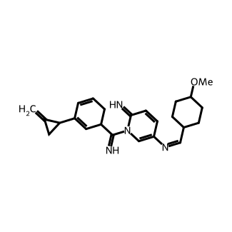 C=C1CC1C1=CC(C(=N)n2cc(/N=C\C3CCC(OC)CC3)ccc2=N)CC=C1